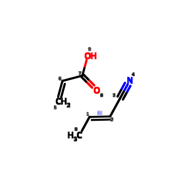 C/C=C/C#N.C=CC(=O)O